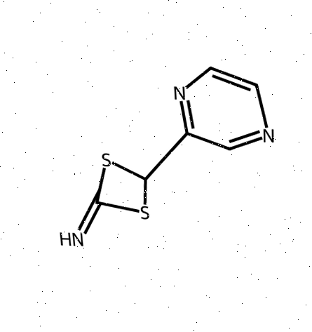 N=C1SC(c2cnccn2)S1